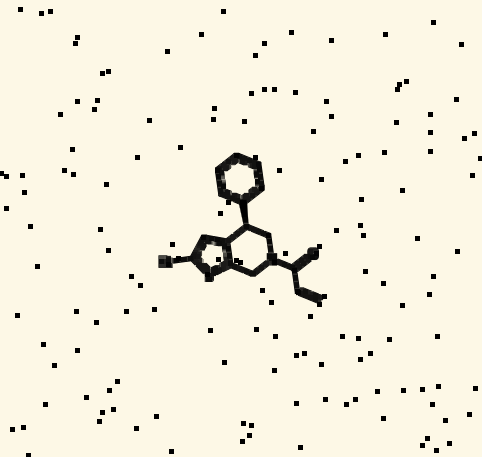 C=CC(=O)N1Cc2sc(CC)cc2[C@@H](c2ccccc2)C1